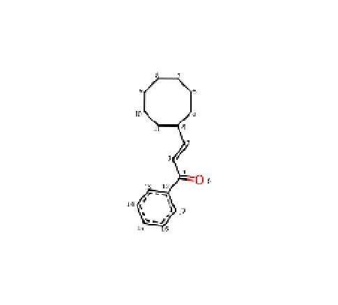 O=C(/C=C/C1CCCCCCC1)c1ccccc1